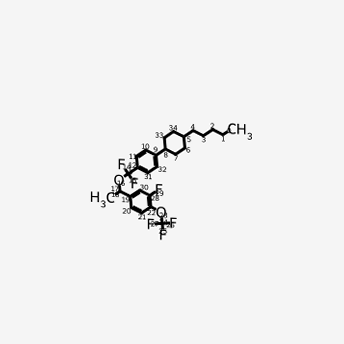 CCCCCC1CCC(c2ccc(C(F)(F)OC(C)c3ccc(OC(F)(F)F)c(F)c3)cc2)CC1